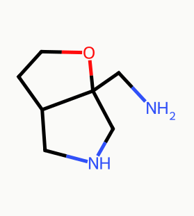 NCC12CNCC1CCO2